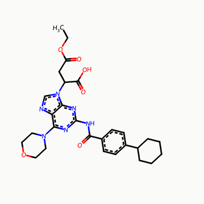 CCOC(=O)CC(C(=O)O)n1cnc2c(N3CCOCC3)nc(NC(=O)c3ccc(C4CCCCC4)cc3)nc21